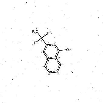 [O]c1cc(C(F)(F)C(F)(F)F)cc2ccccc12